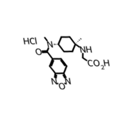 CN(C(=O)c1ccc2nonc2c1)[C@H]1CC[C@](C)(NCC(=O)O)CC1.Cl